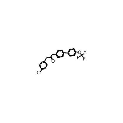 O=C(Cc1ccc(Cl)cc1)Cc1ccc(-c2ccc(OC(F)(F)F)cc2)cc1